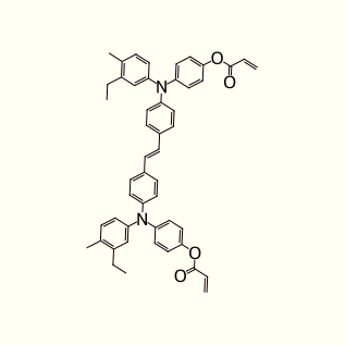 C=CC(=O)Oc1ccc(N(c2ccc(C=Cc3ccc(N(c4ccc(OC(=O)C=C)cc4)c4ccc(C)c(CC)c4)cc3)cc2)c2ccc(C)c(CC)c2)cc1